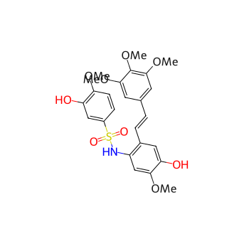 COc1ccc(S(=O)(=O)Nc2cc(OC)c(O)cc2C=Cc2cc(OC)c(OC)c(OC)c2)cc1O